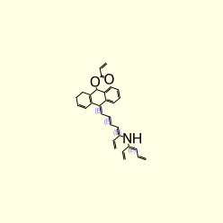 C=C/C=C(\C=C)N/C(C=C)=C/C=C/C=C1/C2=C(CCC=C2)C(OC(=O)C=C)c2ccccc21